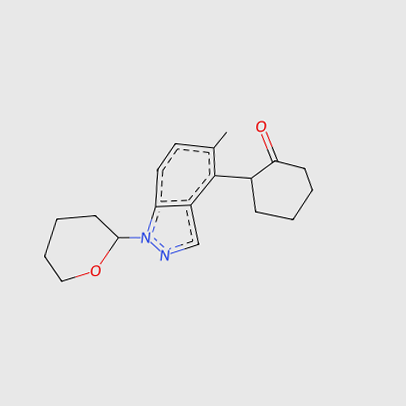 Cc1ccc2c(cnn2C2CCCCO2)c1C1CCCCC1=O